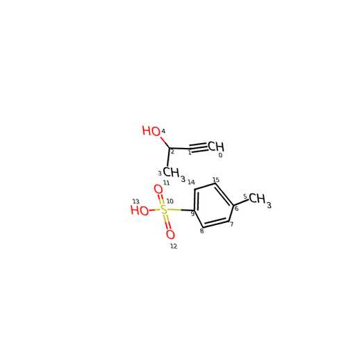 C#CC(C)O.Cc1ccc(S(=O)(=O)O)cc1